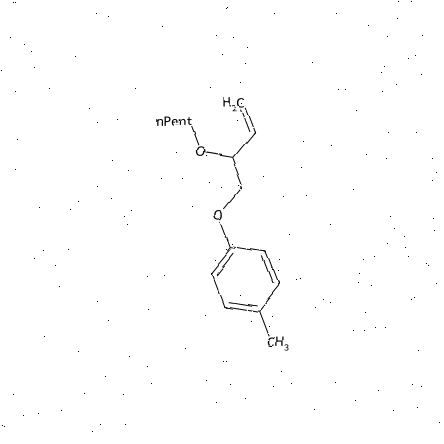 C=CC(COc1ccc(C)cc1)OCCCCC